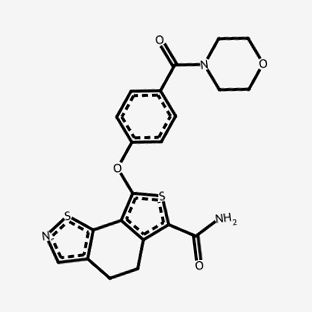 NC(=O)c1sc(Oc2ccc(C(=O)N3CCOCC3)cc2)c2c1CCc1cnsc1-2